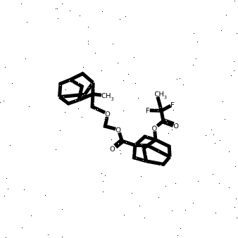 CC(F)(F)C(=O)OC12CC3CC(C1)CC(C(=O)OCOCC1(C)C4CC5CC(C4)CC1C5)(C3)C2